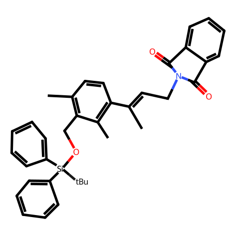 C/C(=C\CN1C(=O)c2ccccc2C1=O)c1ccc(C)c(CO[Si](c2ccccc2)(c2ccccc2)C(C)(C)C)c1C